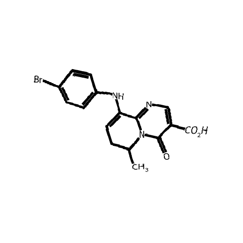 CC1CC=C(Nc2ccc(Br)cc2)c2ncc(C(=O)O)c(=O)n21